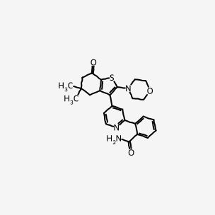 CC1(C)CC(=O)c2sc(N3CCOCC3)c(-c3ccnc(-c4ccccc4C(N)=O)c3)c2C1